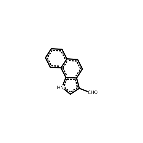 O=Cc1c[nH]c2c1ccc1ccccc12